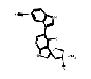 C[C@@]1(C#N)CC[C@@]2(CNc3ncc(-c4c[nH]c5ccc(C#N)cc45)c(Cl)c32)C1